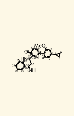 COc1cc(C2CC2)ccc1-n1ccc(=O)c(C(CC=N)Nc2ccccc2)n1